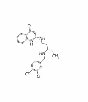 CC[C@@H](CCNc1cc(=O)c2ccccc2[nH]1)NCc1ccc(Cl)c(Cl)c1